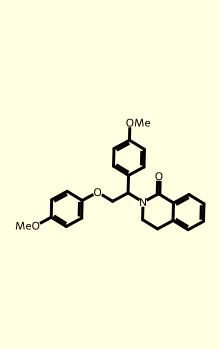 COc1ccc(OCC(c2ccc(OC)cc2)N2CCc3ccccc3C2=O)cc1